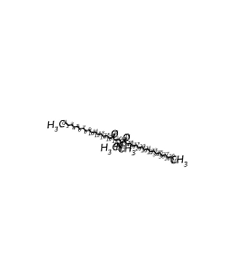 CCCCCCCCCCCCCCCCCC(=O)CCC(C(=O)CCCCCCCCCCCCCCCCC)N(C)C